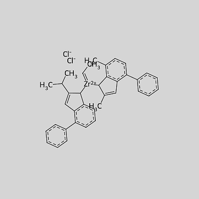 C/[CH]=[Zr+2](/[CH]1C(C(C)C)=Cc2c(-c3ccccc3)cccc21)[CH]1C(C)=Cc2c(-c3ccccc3)ccc(C)c21.[Cl-].[Cl-]